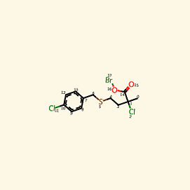 CC(Cl)(CCSCc1ccc(Cl)cc1)C(=O)OBr